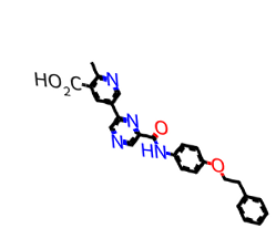 Cc1ncc(-c2cncc(C(=O)Nc3ccc(OCCc4ccccc4)cc3)n2)cc1C(=O)O